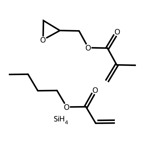 C=C(C)C(=O)OCC1CO1.C=CC(=O)OCCCC.[SiH4]